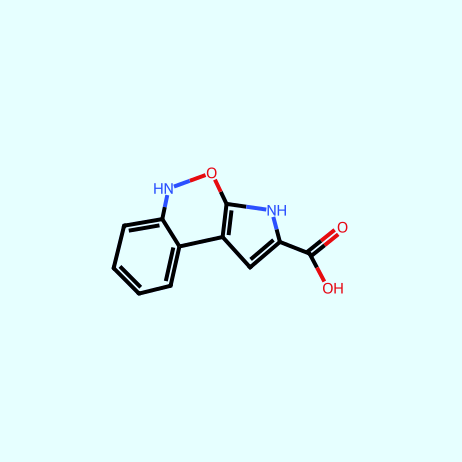 O=C(O)c1cc2c([nH]1)ONc1ccccc1-2